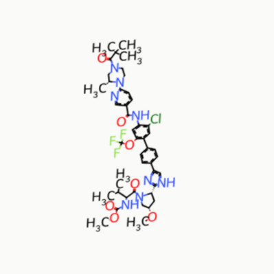 COC(=O)N[C@H](C(=O)N1C[C@@H](OC)C[C@H]1c1nc(-c2ccc(-c3cc(Cl)c(NC(=O)c4ccc(N5CCN(C(=O)C(C)(C)C)C[C@H]5C)nc4)cc3OC(F)(F)F)cc2)c[nH]1)C(C)C